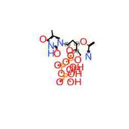 C=C(C#N)O[C@H]1C[C@H](n2cc(C)c(=O)[nH]c2=O)O[C@@H]1COP(=O)(O)OP(=O)(O)OP(=O)(O)O